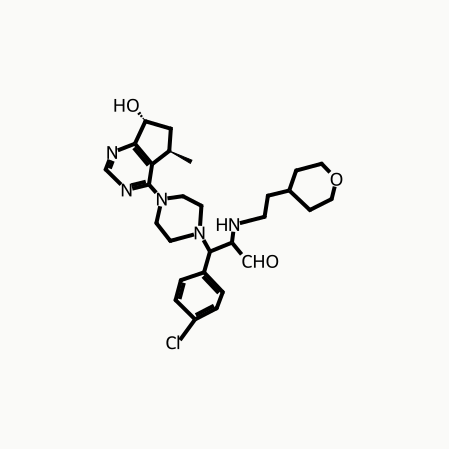 C[C@@H]1C[C@@H](O)c2ncnc(N3CCN(C(c4ccc(Cl)cc4)C(C=O)NCCC4CCOCC4)CC3)c21